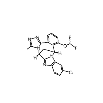 Cc1nnc2n1[C@@H]1C[C@H](c3c(OC(F)F)cccc3-2)n2c1nc1ccc(Cl)cc12